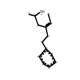 C/C=C(/CCc1ccccc1)CC(C)O